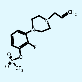 C=CCN1CCN(c2cccc(OS(=O)(=O)C(F)(F)F)c2F)CC1